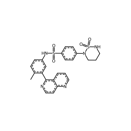 Cc1ccc(NS(=O)(=O)c2ccc(N3CCCNS3(=O)=O)cc2)cc1-c1nccc2ncccc12